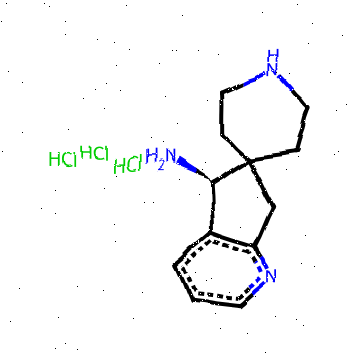 Cl.Cl.Cl.N[C@@H]1c2cccnc2CC12CCNCC2